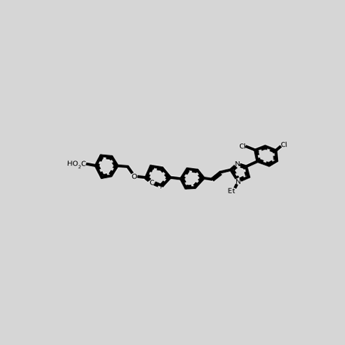 CCn1cc(-c2ccc(Cl)cc2Cl)nc1/C=C/c1ccc(-c2ccc(OCc3ccc(C(=O)O)cc3)cc2)cc1